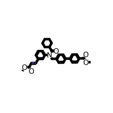 COC(=O)/C=C/c1cccc(N(Cc2ccc(-c3ccc(C(=O)OC)cc3)cc2)C(=O)C2CCCCC2)c1